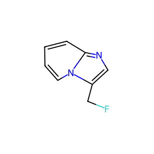 FCc1cnc2ccccn12